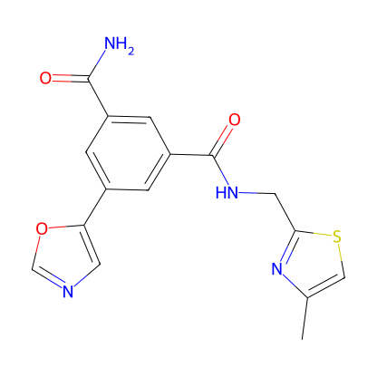 Cc1csc(CNC(=O)c2cc(C(N)=O)cc(-c3cnco3)c2)n1